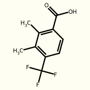 Cc1c(C(=O)O)ccc(C(F)(F)F)c1C